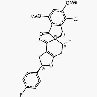 COc1cc(OC)c2c(c1Cl)O[C@@]1(C(=O)C3=C(C[C@H]1C)O[C@@H](c1ccc(F)cc1)C3)C2=O